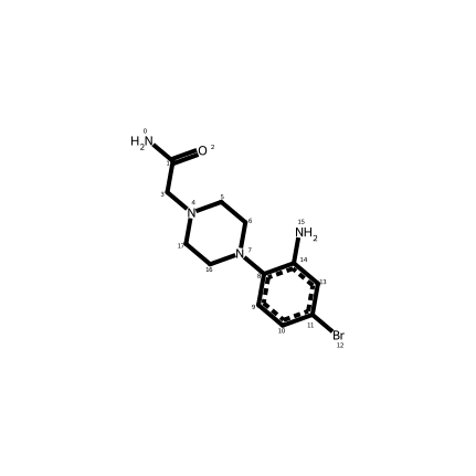 NC(=O)CN1CCN(c2ccc(Br)cc2N)CC1